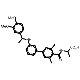 COc1ccc(C(C)Nc2cccc(-c3cc(C)c(C(=O)NC(C)C(=O)O)c(C)c3)c2)cc1OC